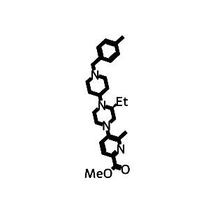 CC[C@H]1CN(c2ccc(C(=O)OC)nc2C)CCN1C1CCN(Cc2ccc(C)cc2)CC1